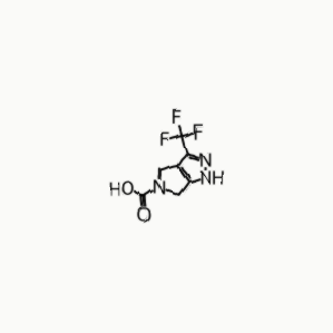 O=C(O)N1Cc2[nH]nc(C(F)(F)F)c2C1